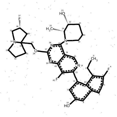 CCc1c(F)ccc2cc(O)cc(-c3ncc4c(N5CCC[C@@H](O)[C@H]5C)nc(OCC56CCCN5C[C@H](F)C6)nc4c3F)c12